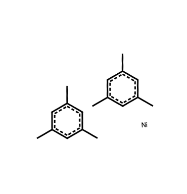 Cc1cc(C)cc(C)c1.Cc1cc(C)cc(C)c1.[Ni]